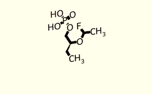 CC[C@@H](COP(=O)(O)O)OC(C)F